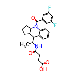 CC(NC(=O)CCC(=O)O)C1c2ccccc2N(C(=O)c2cc(F)cc(F)c2)C2CCCC12